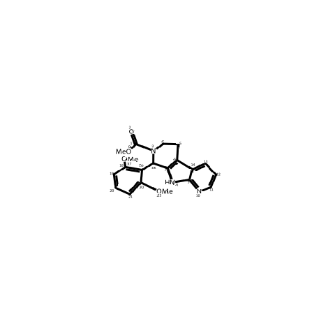 COC(=O)N1CCc2c([nH]c3ncccc23)C1c1c(OC)cccc1OC